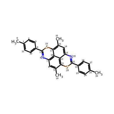 Cc1ccc(C2=Nc3cc(C)c4c5c(cc(C)c(c35)S2)N=C(c2ccc(C)cc2)S4)cc1